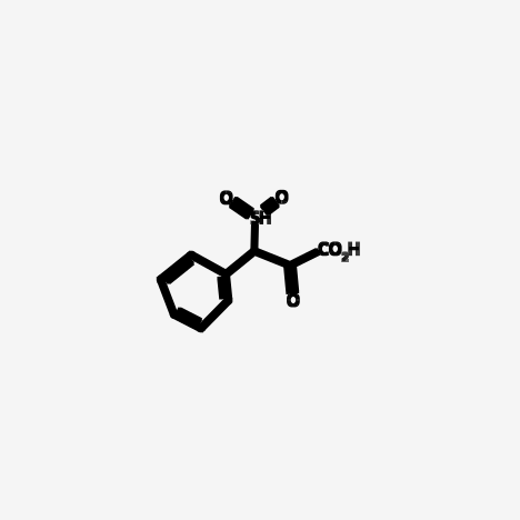 O=C(O)C(=O)C(c1ccccc1)[SH](=O)=O